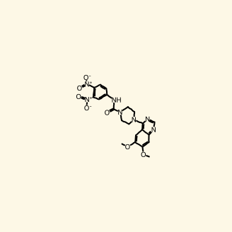 COc1cc2ncnc(N3CCN(C(=O)Nc4ccc([N+](=O)[O-])c([N+](=O)[O-])c4)CC3)c2cc1OC